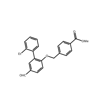 CCc1ccccc1-c1cc(C=O)ccc1OCc1ccc(C(=O)OC)cc1